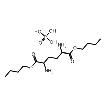 CCCCOC(=O)C(N)CCC(N)C(=O)OCCCC.O=P(O)(O)O